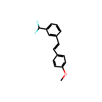 COc1ccc(/C=C/c2cccc(C(F)F)c2)cc1